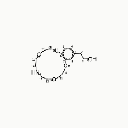 OCCc1ccc2c(c1)OCCOCCNCCOCCO2